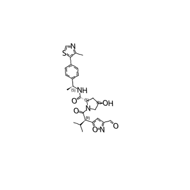 Cc1ncsc1-c1ccc([C@H](C)NC(=O)[C@@H]2C[C@@H](O)CN2C(=O)[C@@H](c2cc(C=O)no2)C(C)C)cc1